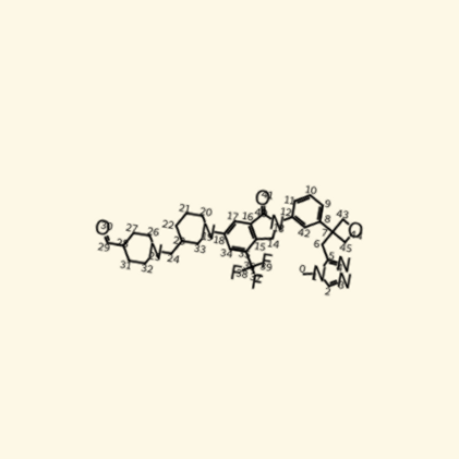 Cn1cnnc1CC1(c2cccc(N3Cc4c(cc(N5CCCC(CN6CCC(C=O)CC6)C5)cc4C(F)(F)F)C3=O)c2)COC1